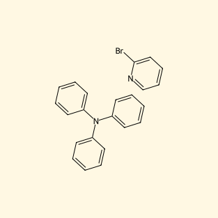 Brc1ccccn1.c1ccc(N(c2ccccc2)c2ccccc2)cc1